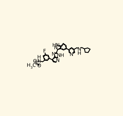 CS(=O)(=O)NCc1cc(F)cc(-c2ccnc3[nH]c(-c4n[nH]c5ccc(-c6cncc(CNCC7CCCC7)c6)cc45)nc23)c1